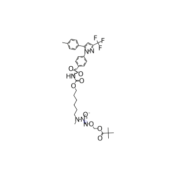 Cc1ccc(-c2cc(C(F)(F)F)nn2-c2ccc(S(=O)(=O)NC(=O)OCCCCCCN(C)/[N+]([O-])=N/OCOC(=O)C(C)(C)C)cc2)cc1